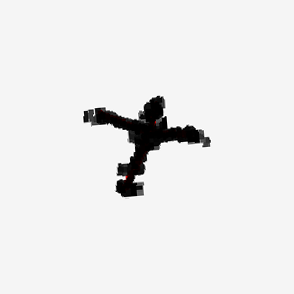 NC(=O)CCOCCOCCOCCNC(=O)CCOCC(COCCC(=O)NCCOCCOCCOCCC(N)=O)(COCCC(=O)NCCOCCOCCOCCC(=O)NCCCCCCCC(=O)O)NC(=O)CCCCCNC(=O)OCC(Cl)(Cl)Cl